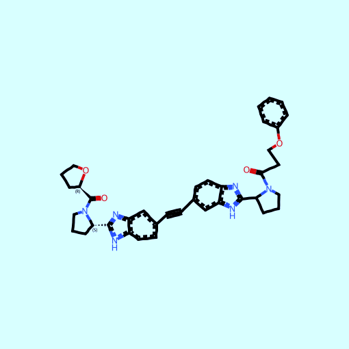 O=C(CCOc1ccccc1)N1CCCC1c1nc2ccc(C#Cc3ccc4[nH]c([C@@H]5CCCN5C(=O)[C@H]5CCCO5)nc4c3)cc2[nH]1